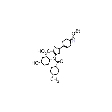 CCO/N=C1/CC=C(c2cc(N(C(=O)[C@H]3CC[C@H](C)CC3)[C@H]3CC[C@H](O)CC3)c(C(=O)O)s2)CC1